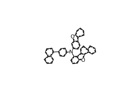 c1ccc2c(-c3ccc(N(c4ccc5c(c4)oc4ccccc45)c4cccc5oc6c7ccccc7ccc6c45)cc3)cccc2c1